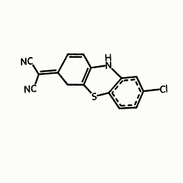 N#CC(C#N)=C1C=CC2=C(C1)Sc1ccc(Cl)cc1N2